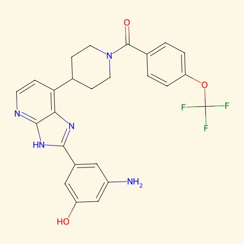 Nc1cc(O)cc(-c2nc3c(C4CCN(C(=O)c5ccc(OC(F)(F)F)cc5)CC4)ccnc3[nH]2)c1